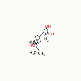 C=C1/C(=C\C=C2CCC[C@@]3(C)C2CC[C@@H]3[C@@](C)(O)CCCC(C)C)C[C@@H](O)C[C@H]1O